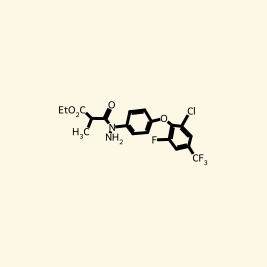 CCOC(=O)C(C)C(=O)N(N)c1ccc(Oc2c(F)cc(C(F)(F)F)cc2Cl)cc1